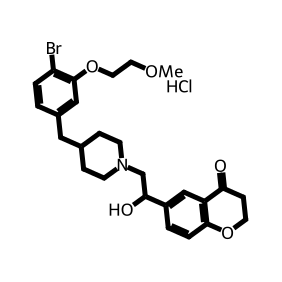 COCCOc1cc(CC2CCN(CC(O)c3ccc4c(c3)C(=O)CCO4)CC2)ccc1Br.Cl